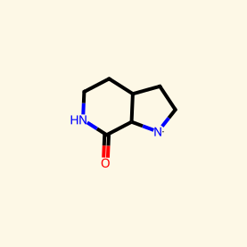 O=C1NCCC2CC[N]C12